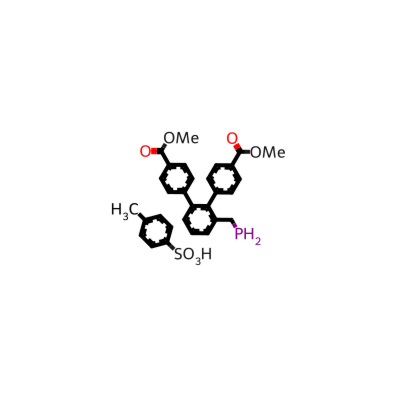 COC(=O)c1ccc(-c2cccc(CP)c2-c2ccc(C(=O)OC)cc2)cc1.Cc1ccc(S(=O)(=O)O)cc1